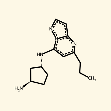 CCCc1cc(N[C@@H]2CC[C@@H](N)C2)n2nccc2n1